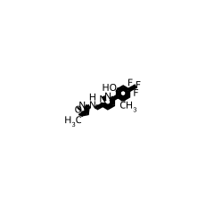 Cc1cc(NCc2ccc(-c3c(C)cc(C(F)(F)F)cc3O)nn2)no1